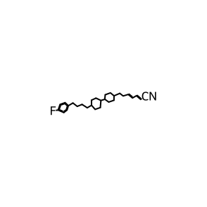 N#CC=CC=CCCC1CCC(C2CCC(CCCCc3ccc(F)cc3)CC2)CC1